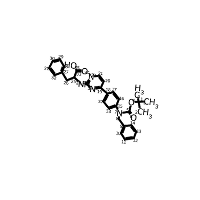 CC(C)(C)OC(=O)N(Cc1ccccc1)c1ccc(-c2ccnc(NC(Cc3ccccc3)C(=O)O)n2)cc1